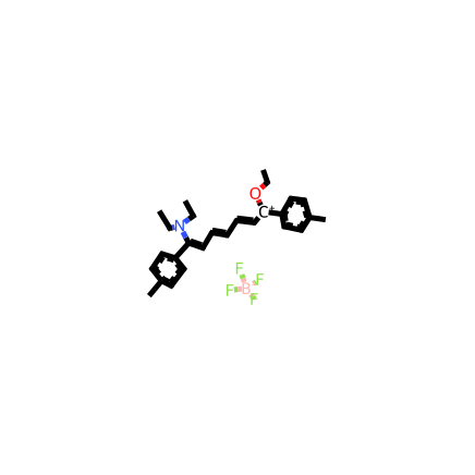 CCO[C+](C=CC=CC=C(c1ccc(C)cc1)N(CC)CC)c1ccc(C)cc1.F[B-](F)(F)F